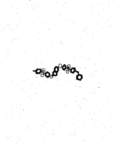 Cc1ccc(S(=O)(=O)c2ccc(Oc3ccc4cc(Oc5ccc(S(=O)(=O)c6ccc(Cc7ccccc7)cc6)cc5)ccc4c3)cc2)cc1